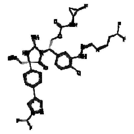 CC(C)(C)C[C@]1(c2ccc(-c3cnn(C(F)F)c3)cc2)NC(=N)N([C@H](COC(=O)N[C@H]2C[C@H]2F)c2ccc(Cl)c(N/N=C\N=C/CC(F)F)c2)C1=O